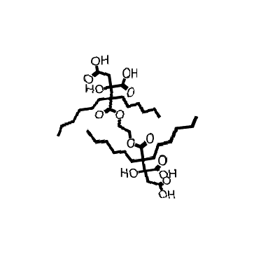 CCCCCCC(CCCCCC)(C(=O)OCCOC(=O)C(CCCCCC)(CCCCCC)C(O)(CC(=O)O)C(=O)O)C(O)(CC(=O)O)C(=O)O